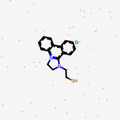 SCCN1CC[n+]2c1c1ccccc1c1ccccc12.[Br-]